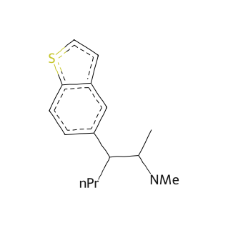 CCCC(c1ccc2sccc2c1)C(C)NC